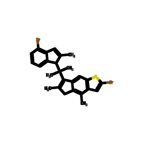 CC1=Cc2c(Br)cccc2C1[Si](C)(C)C1=C(C)Cc2c1cc1sc(Br)cc1c2C